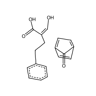 O=C(O)C(=CO)CCc1ccccc1.O=C1C2=CC=C1C=C2